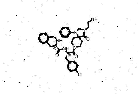 NCCN1CN(c2ccccc2)C2(CCN(C(=O)[C@@H](Cc3ccc(Cl)cc3)NC(=O)[C@H]3Cc4ccccc4CN3)CC2)C1=O